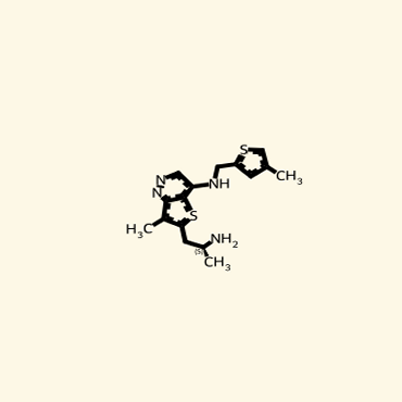 Cc1csc(CNc2cnnc3c(C)c(C[C@H](C)N)sc23)c1